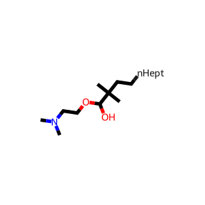 CCCCCCCCCC(C)(C)C(O)OCCN(C)C